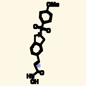 COc1ccc(S(=O)(=O)N2Cc3ccc(/C=C/C(=O)NO)cc3C2)cc1